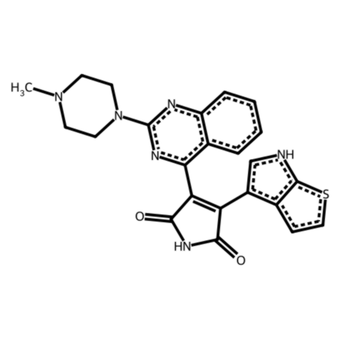 CN1CCN(c2nc(C3=C(c4c[nH]c5sccc45)C(=O)NC3=O)c3ccccc3n2)CC1